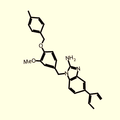 C=C/C(=C\C)c1ccc2c(c1)nc(N)n2Cc1ccc(OCc2ccc(C)cc2)c(OC)c1